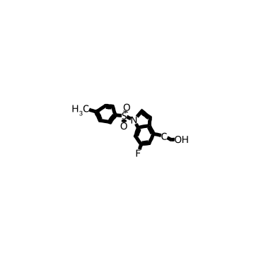 Cc1ccc(S(=O)(=O)n2ccc3c(CCO)cc(F)cc32)cc1